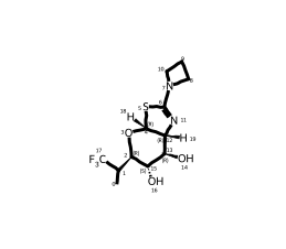 CC([C@H]1O[C@@H]2SC(N3CCC3)=N[C@@H]2[C@@H](O)[C@@H]1O)C(F)(F)F